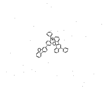 c1ccc(-c2cc3c4cccc(N(c5ccccc5)c5ccc(-c6ccc7c(c6)oc6ccccc67)cc5)c4oc3c3ccccc23)cc1